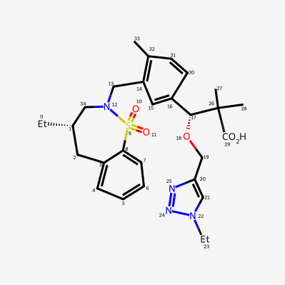 CC[C@H]1Cc2ccccc2S(=O)(=O)N(Cc2cc([C@@H](OCc3cn(CC)nn3)C(C)(C)C(=O)O)ccc2C)C1